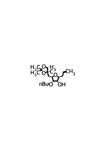 C=CC[C@@H]1O[C@H](C[C@]2(C)COC(C)(C)O2)[C@H](OCCCC)[C@H]1O